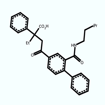 CCC(CC(=O)c1ccc(-c2ccccc2)c(C(=O)NCCC(C)C)c1)(C(=O)O)c1ccccc1